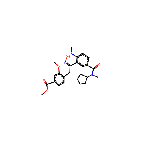 CNc1ccc(C(=O)N(C)C2CCCC2)cc1C(Cc1ccc(C(=O)OC)cc1OC)=NO